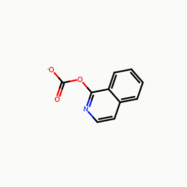 [O]C(=O)Oc1nccc2ccccc12